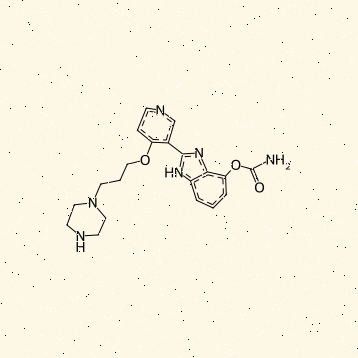 NC(=O)Oc1cccc2[nH]c(-c3cnccc3OCCCN3CCNCC3)nc12